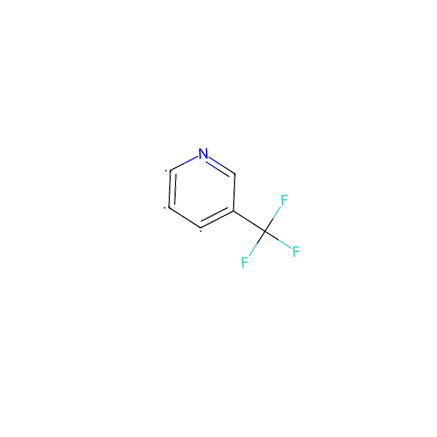 FC(F)(F)c1[c][c][c]nc1